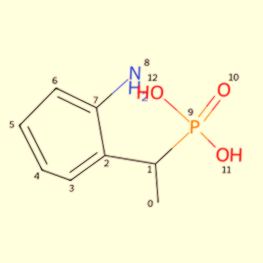 CC(c1ccccc1N)P(=O)(O)O